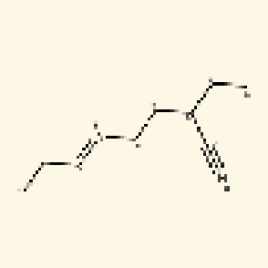 CCC=NCCC(C#N)CC